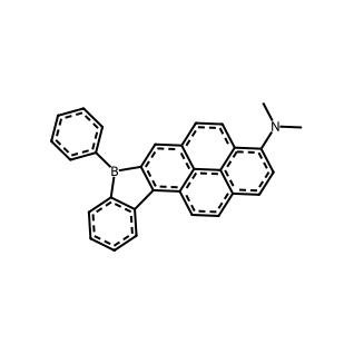 CN(C)c1ccc2ccc3c4c(cc5ccc1c2c53)B(c1ccccc1)c1ccccc1-4